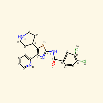 O=C(Nc1nc(-c2ccccn2)c(C2CCNCC2)s1)c1ccc(Cl)c(Cl)c1